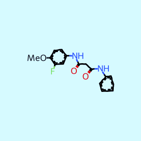 COc1ccc(NC(=O)CC(=O)Nc2ccccc2)cc1F